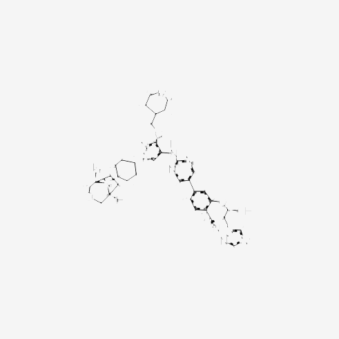 C[C@@H](Cn1cncn1)Oc1cc(-c2cnc(Nc3cn([C@H]4CC[C@H](N5[C@@H]6CC[C@H]5COC6)CC4)nc3OCC3CCOCC3)nc2)ccc1C#N